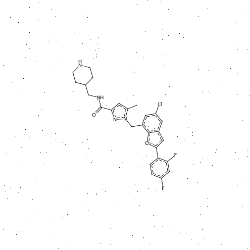 Cc1cc(C(=O)NCC2CCNCC2)nn1Cc1cc(Cl)cc2cc(-c3ccc(F)cc3F)oc12